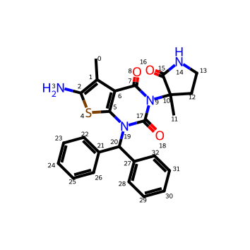 Cc1c(N)sc2c1c(=O)n(C1(C)CCNC1=O)c(=O)n2C(c1ccccc1)c1ccccc1